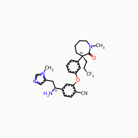 CN1CCCC[C@@](CCC(F)(F)F)(c2cccc(Oc3cc([C@@H](N)Cc4cncn4C)ccc3C#N)c2)C1=O